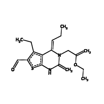 C=C(CN1C(=C)Nc2sc(C=O)c(CC)c2C1=CCC)OCC